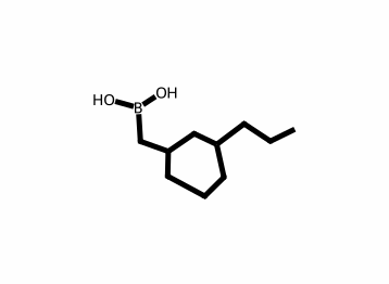 CCCC1CCCC(CB(O)O)C1